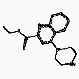 CCOC(=O)c1cc(N2CCNCC2)c2ccccc2n1